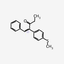 CCC(=O)/C(=C\c1ccccc1)c1ccc(SC)cc1